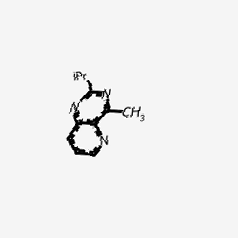 Cc1nc(C(C)C)nc2cccnc12